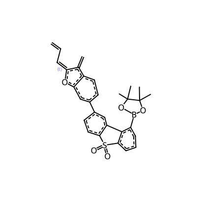 C=C/C=c1/oc2cc(-c3ccc4c(c3)-c3c(B5OC(C)(C)C(C)(C)O5)cccc3S4(=O)=O)ccc2c1=C